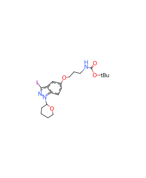 CC(C)(C)OC(=O)NCCCOc1ccc2c(c1)c(I)nn2C1CCCCO1